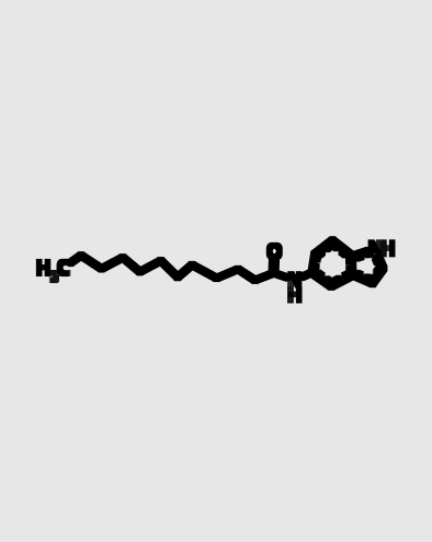 CCCCCCCCCCCC(=O)Nc1ccc2[nH]ccc2c1